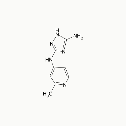 Cc1cc(Nc2n[nH]c(N)n2)ccn1